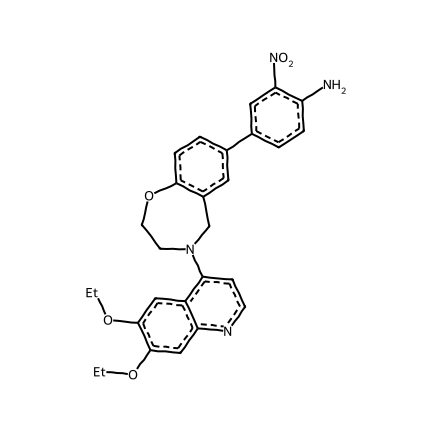 CCOc1cc2nccc(N3CCOc4ccc(-c5ccc(N)c([N+](=O)[O-])c5)cc4C3)c2cc1OCC